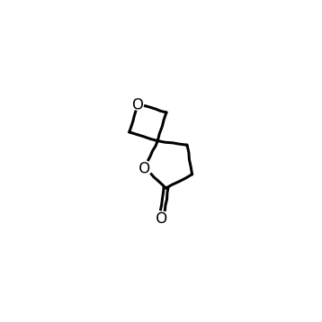 O=C1CCC2(COC2)O1